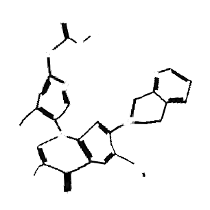 CCOc1cc2c(=O)c(C(=O)O)cn(-c3cnc(NC(=O)OC(C)(C)C)cc3C)c2cc1N1Cc2cccnc2C1